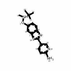 C[SiH](Oc1ccc2nc(-c3ccc(N)nc3)sc2c1)C(C)(C)C